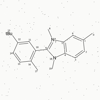 Cc1ccc2c(c1)[n+](C)c(-c1cc(C(C)(C)C)ccc1C)n2C